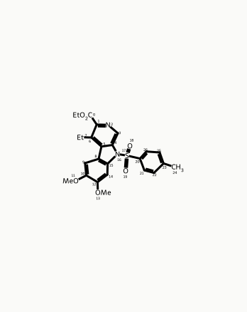 CCOC(=O)c1ncc2c(c1CC)c1cc(OC)c(OC)cc1n2S(=O)(=O)c1ccc(C)cc1